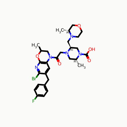 CC1CN(C(=O)CN2C[C@@H](C)N(C(=O)O)C[C@@H]2CN2CCOC[C@H]2C)c2cc(Cc3ccc(F)cc3)c(Br)nc2O1